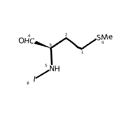 CSCC[C@H](C=O)NI